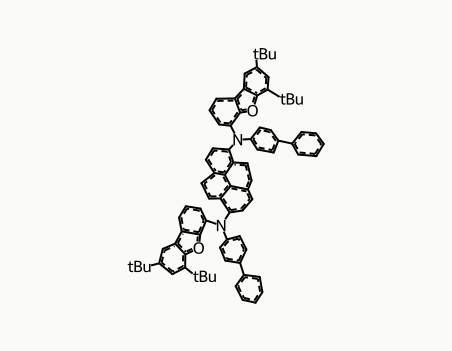 CC(C)(C)c1cc(C(C)(C)C)c2oc3c(N(c4ccc(-c5ccccc5)cc4)c4ccc5ccc6c(N(c7ccc(-c8ccccc8)cc7)c7cccc8c7oc7c(C(C)(C)C)cc(C(C)(C)C)cc78)ccc7ccc4c5c76)cccc3c2c1